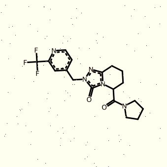 O=C(C1CCCc2nn(Cc3ccnc(C(F)(F)F)c3)c(=O)n21)N1CCCC1